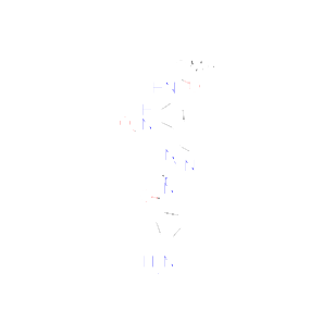 COC(=O)Nc1ccc2c(c1)NC(=O)CCCC[C@H](N1CCc3cc(CN)ccc3C1=O)c1nc-2c[nH]1